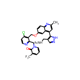 CC(=O)NCc1cn[nH]c1-c1cc(C)nc2ccc(OCc3c(Cl)ccnc3Cn3cccc(C(F)(F)F)c3=O)cc12